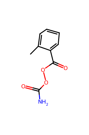 Cc1ccccc1C(=O)OOC(N)=O